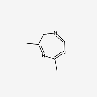 CC1=NC(C)=NC=NC1